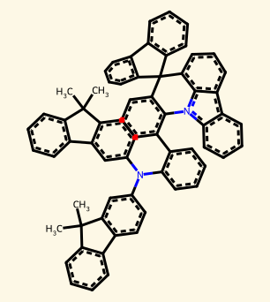 CC1(C)c2ccccc2-c2cc(N(c3ccc4c(c3)C(C)(C)c3ccccc3-4)c3ccccc3-c3cccc4c3-n3c5ccccc5c5cccc(c53)C43c4ccccc4-c4ccccc43)ccc21